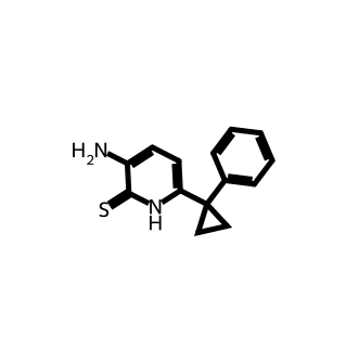 Nc1ccc(C2(c3ccccc3)CC2)[nH]c1=S